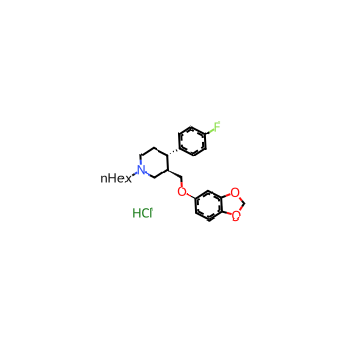 CCCCCCN1CC[C@H](c2ccc(F)cc2)[C@@H](COc2ccc3c(c2)OCO3)C1.Cl